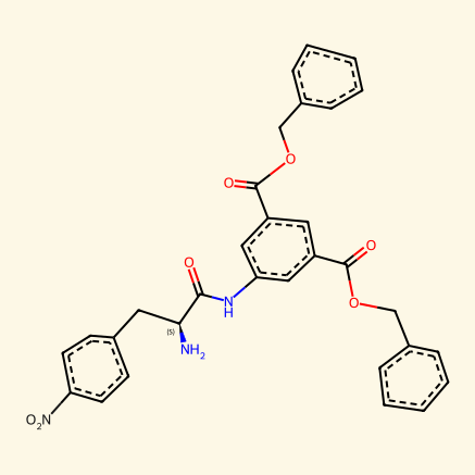 N[C@@H](Cc1ccc([N+](=O)[O-])cc1)C(=O)Nc1cc(C(=O)OCc2ccccc2)cc(C(=O)OCc2ccccc2)c1